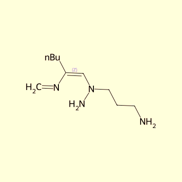 C=N/C(=C\N(N)CCCN)CCCC